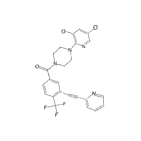 O=C(c1ccc(C(F)(F)F)c(C#Cc2ccccn2)c1)N1CCN(c2ncc(Cl)cc2Cl)CC1